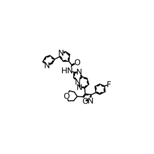 O=C(Nc1cn2nc(-c3c(-c4ccc(F)cc4)noc3C3CCOCC3)ccc2n1)c1ccnc(-c2cccnc2)c1